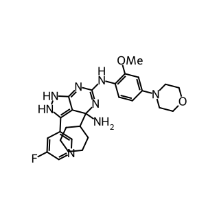 COc1cc(N2CCOCC2)ccc1NC1=NC(N)(C2CCCCC2)C2=C(c3cncc(F)c3)NNC2=N1